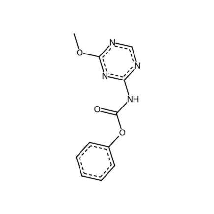 COc1ncnc(NC(=O)Oc2ccccc2)n1